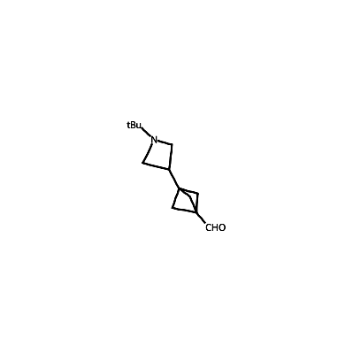 CC(C)(C)N1CC(C23CC(C=O)(C2)C3)C1